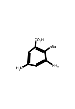 CCCCc1c(N)cc(N)cc1C(=O)O